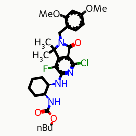 CCCCOC(=O)N[C@H]1CCCC[C@H]1Nc1nc(Cl)c2c(c1F)C(C)(C)N(Cc1ccc(OC)cc1OC)C2=O